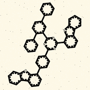 c1ccc(-c2ccc(-c3ccccc3)c(-c3nc(-c4ccc(-c5cccc6c5oc5ccccc56)cc4)nc(-c4cccc5c4sc4ccccc45)n3)c2)cc1